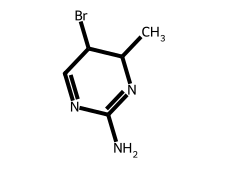 CC1N=C(N)N=CC1Br